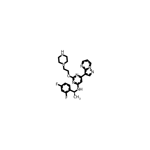 C[C@H](Nc1cc(-c2cnn3cccnc23)nc(OCCN2CCNCC2)n1)c1ccc(F)cc1F